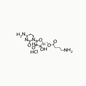 Cl.NCCCC(=O)OC[C@H]1O[C@@H](n2ccc(N)nc2=O)[C@H](O)[C@@H]1O